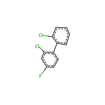 Fc1[c]c(Cl)c(-c2ccccc2Cl)cc1